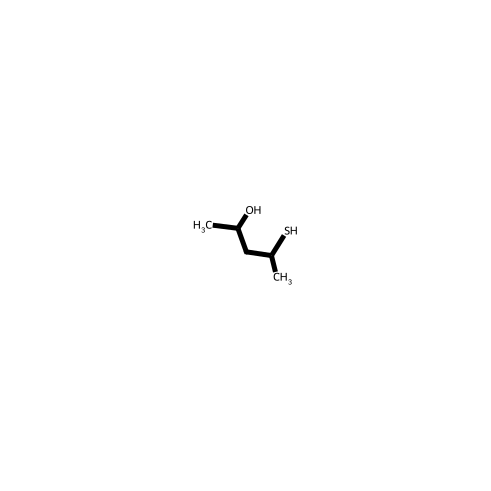 CC(O)CC(C)S